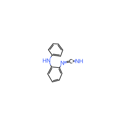 N=C=Nc1ccccc1Nc1ccccc1